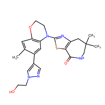 Cc1cc2c(cc1-c1cnn(CCO)c1)N(c1nc3c(s1)C(=O)NCC(C)(C)C3)CCO2